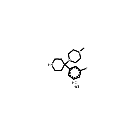 CN1CCN(C2(c3cccc(F)c3)CCNCC2)CC1.Cl.Cl